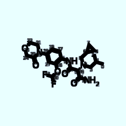 CC(C)CN(CC1CC1)[C@H](C(N)=O)C(=O)Nc1ccc(N2CCOCC2=O)cc1OC(F)F